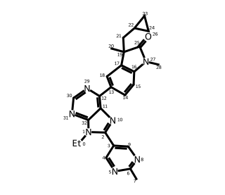 CCn1c(-c2cnc(C)nc2)nc2c(-c3ccc4c(c3)C(C)(CC3CC3)C(=O)N4C)ncnc21